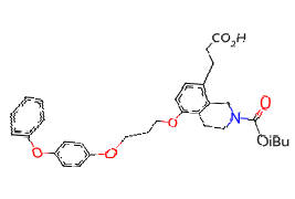 CC(C)COC(=O)N1CCc2c(OCCCOc3ccc(Oc4ccccc4)cc3)ccc(CCC(=O)O)c2C1